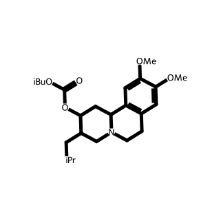 COc1cc2c(cc1OC)C1CC(OC(=O)OCC(C)C)C(CC(C)C)CN1CC2